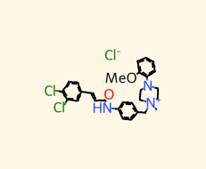 COc1ccccc1N1CC[N+](C)(Cc2ccc(NC(=O)/C=C/c3ccc(Cl)c(Cl)c3)cc2)CC1.[Cl-]